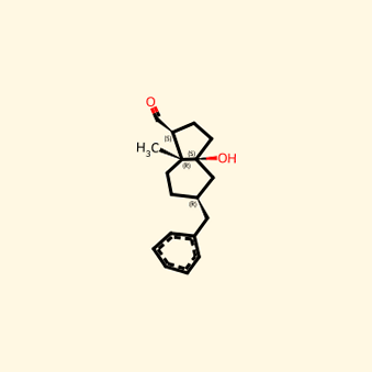 C[C@]12CC[C@H](Cc3ccccc3)C[C@@]1(O)CC[C@@H]2C=O